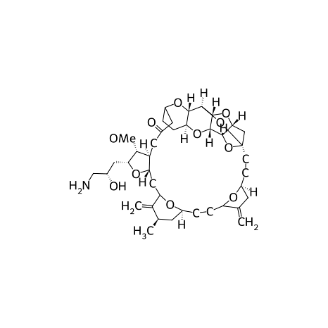 C=C1C[C@@H]2CC[C@@]34C[C@H]5O[C@H]6[C@@H](O3)[C@H]3OC(CC[C@@H]3O[C@H]6[C@H]5O4)CC(=O)C[C@@H]3[C@@H](OC)[C@@H](C[C@H](O)CN)O[C@H]3CC3O[C@@H](CCC1O2)C[C@@H](C)C3=C